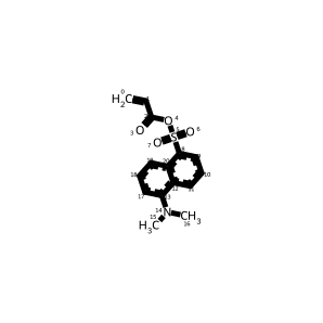 C=CC(=O)OS(=O)(=O)c1cccc2c(N(C)C)cccc12